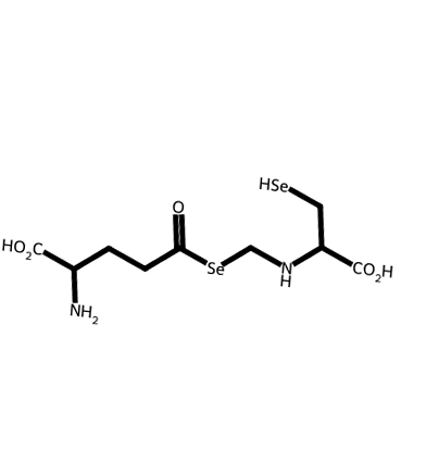 NC(CCC(=O)[Se]CNC(C[SeH])C(=O)O)C(=O)O